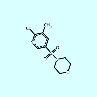 Cc1cc(S(=O)(=O)N2CCOCC2)cnc1Cl